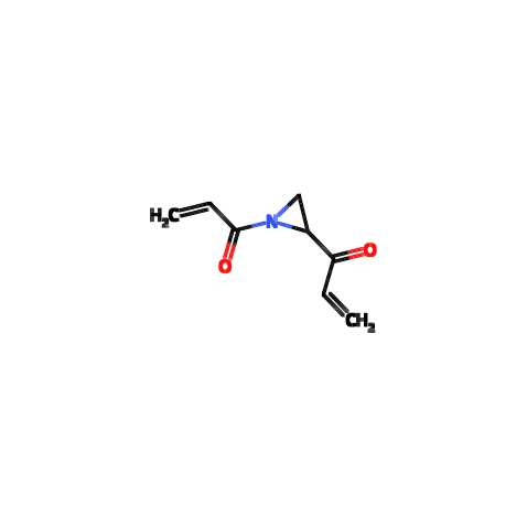 C=CC(=O)C1CN1C(=O)C=C